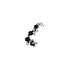 O=C1CCC(N2Cc3c(OCc4ccc(CNC(=O)Oc5ccc([N+](=O)[O-])cc5)cc4)cccc3C2=O)C(=O)N1